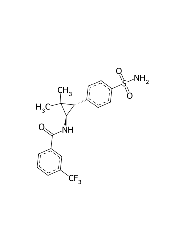 CC1(C)[C@H](NC(=O)c2cccc(C(F)(F)F)c2)[C@H]1c1ccc(S(N)(=O)=O)cc1